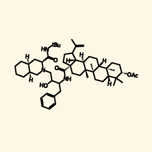 C=C(C)C1CC[C@]2(C(=O)NC(Cc3ccccc3)C(O)CN3C[C@H]4CCCC[C@H]4C[C@H]3C(=O)NC(C)(C)C)CC[C@]3(C)[C@H](CC[C@@H]4[C@@]5(C)CC[C@H](OC(C)=O)C(C)(C)[C@@H]5CC[C@]43C)[C@@H]12